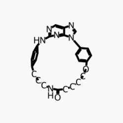 O=C1CCCCOc2ccc(cc2)-n2cnc3cnc(nc32)Nc2ccc(cc2)CCCN1